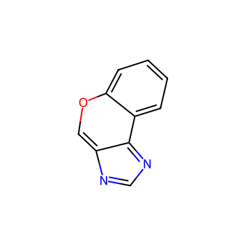 c1ccc2c3ncnc-3coc2c1